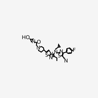 CCc1nc2sc(C3CCN(CC(=O)N4CC(O)C4)CC3)cn2c1N(CC1CC1)c1nc(-c2ccc(F)cc2)c(C#N)s1